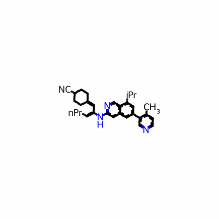 CCCC=C(C=C1CCC(C#N)CC1)Nc1cc2cc(-c3cnccc3C)cc(C(C)C)c2cn1